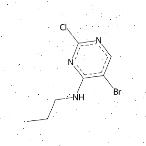 [CH2]CCNc1nc(Cl)ncc1Br